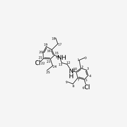 CCc1ccc(Cl)c(CC)c1NCCNc1c(CC)ccc(Cl)c1CC